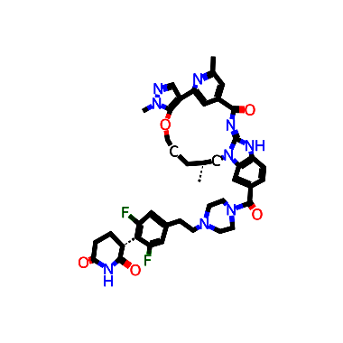 Cc1cc2cc(n1)-c1cnn(C)c1OCCC[C@@H](C)CN1/C(=N/C2=O)Nc2ccc(C(=O)N3CCN(CCc4cc(F)c([C@H]5CCC(=O)NC5=O)c(F)c4)CC3)cc21